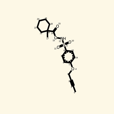 CC#CCOc1ccc(S(=O)(=O)NOC(=O)C2(C)CCCCC2)cc1